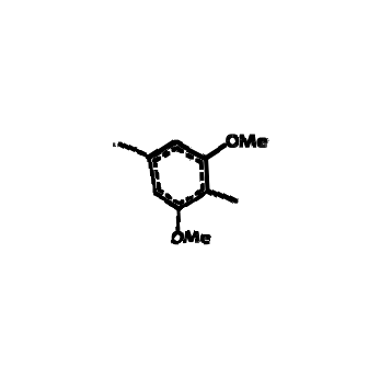 [CH2]c1cc(OC)c(C)c(OC)c1